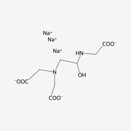 O=C([O-])CNC(O)CN(CC(=O)[O-])CC(=O)[O-].[Na+].[Na+].[Na+]